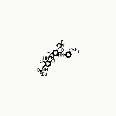 Cn1c(Nc2c(Cl)ccc(CNC(=O)C(C)(C)C)c2Cl)nc2cc(C(=O)Nc3cccc(OC(F)(F)F)c3)c(N3CCC(F)(F)C3)cc21